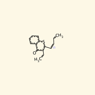 C=C/C=C\c1sc2ccccc2c(=O)c1C=C